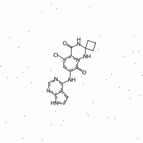 O=C1NC2(CCC2)Nn2c1c(Cl)cc(Nc1ncnc3[nH]ccc13)c2=O